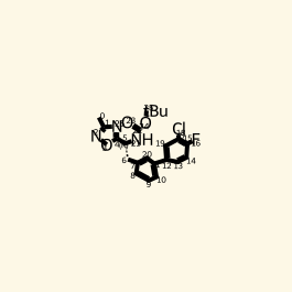 Cc1noc([C@@H](Cc2cccc(-c3ccc(F)c(Cl)c3)c2)NC(=O)OC(C)(C)C)n1